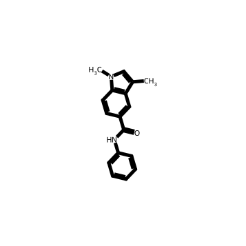 Cc1cn(C)c2ccc(C(=O)Nc3ccccc3)cc12